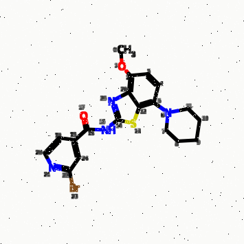 COc1ccc(N2CCCCC2)c2sc(NC(=O)c3ccnc(Br)c3)nc12